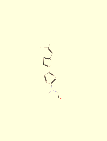 CN(CCO)c1ccc(-c2ccc(/C=C(\C#N)C(=O)O)s2)cc1